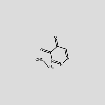 CC=O.O=C1C=NN=NC1=O